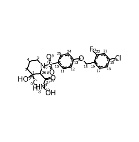 C[C@@]1(O)CCCN(S(=O)(=O)c2ccc(OCc3ccc(Cl)cc3F)cc2)C1C(=O)NO